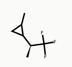 CC1CC1[C@H](C)C(F)(F)F